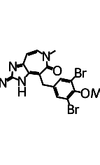 COc1c(Br)cc(Cc2c3[nH]c(=N)nc-3ccn(C)c2=O)cc1Br